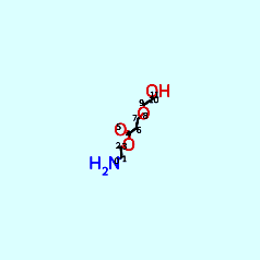 NCCOC(=O)CCOCCO